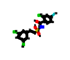 O=C(NS(=O)(=O)C=Cc1cc(Cl)cc(Cl)c1)c1ccc(F)cc1Cl